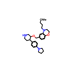 COCCCN1CCOc2ccc(COC3CNCCC3c3ccc(N4CCCC4)cc3)cc21